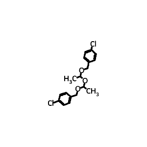 CC(OCc1ccc(Cl)cc1)OC(C)OCc1ccc(Cl)cc1